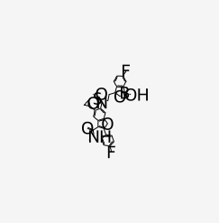 CNC(=O)c1c(-c2ccc(F)cc2)oc2cc(N(CCC3OB(O)c4cc(F)ccc43)S(C)(=O)=O)c(C3CC3)cc12